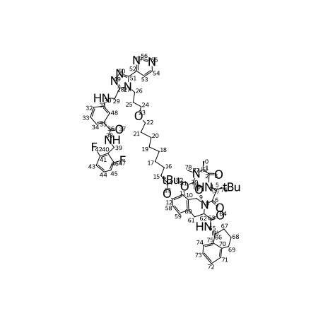 C[C@@H](C(=O)N[C@H](C(=O)N1Cc2cc(OCCCCCCCCCOCCCn3c(CNc4cccc(C(=O)NCc5c(F)cccc5F)c4)nnc3-c3ccncn3)ccc2CC1C(=O)N[C@@H]1CCCc2ccccc21)C(C)(C)C)N(C)C(=O)OC(C)(C)C